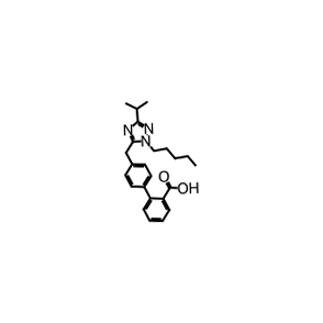 CCCCCn1nc(C(C)C)nc1Cc1ccc(-c2ccccc2C(=O)O)cc1